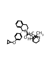 CC1(C)[C@@H](OC(=O)N2CCc3ccccc3[C@H]2c2ccc(OC3CC3)cc2)C2CCN1CC2